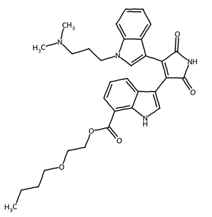 CCCCOCCOC(=O)c1cccc2c(C3=C(c4cn(CCCN(C)C)c5ccccc45)C(=O)NC3=O)c[nH]c12